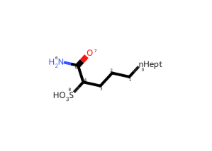 CCCCCCCCCCC(C(N)=O)S(=O)(=O)O